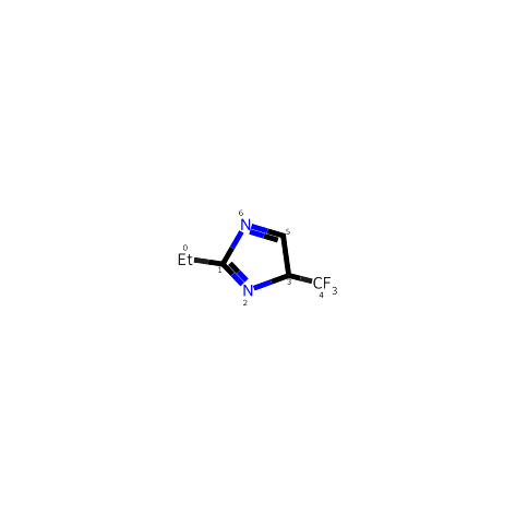 CCC1=NC(C(F)(F)F)C=N1